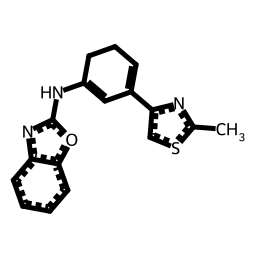 Cc1nc(C2=CCCC(Nc3nc4ccccc4o3)=C2)cs1